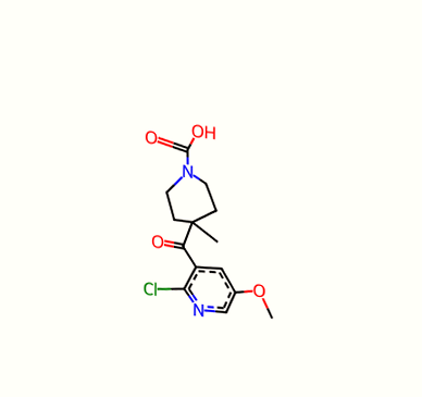 COc1cnc(Cl)c(C(=O)C2(C)CCN(C(=O)O)CC2)c1